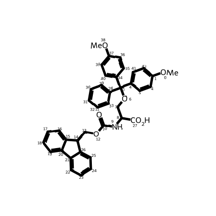 COc1ccc(C(OCC(NC(=O)OCC2c3ccccc3-c3ccccc32)C(=O)O)(c2ccccc2)c2ccc(OC)cc2)cc1